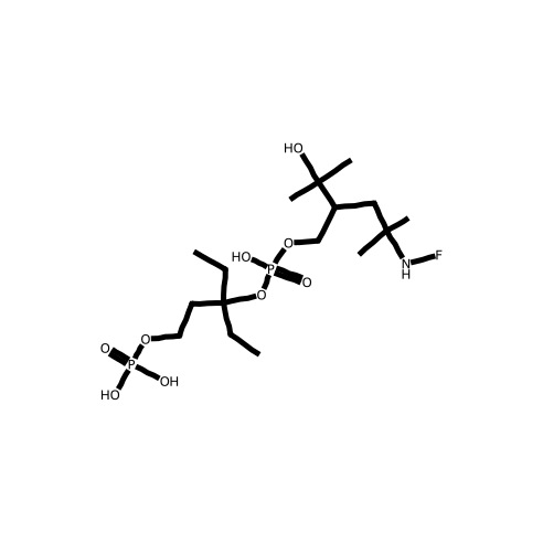 CCC(CC)(CCOP(=O)(O)O)OP(=O)(O)OCC(CC(C)(C)NF)C(C)(C)O